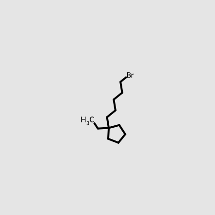 CCC1(CCCCCBr)CCCC1